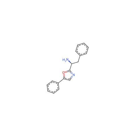 N[C@@H](Cc1ccccc1)c1ncc(-c2ccccc2)o1